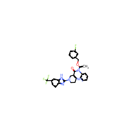 C=C(OCc1cccc(F)c1)N(C(=O)C1=C(N)CCN(c2nc3ccc(C(F)(F)F)cc3[nH]2)C1)c1ccccc1